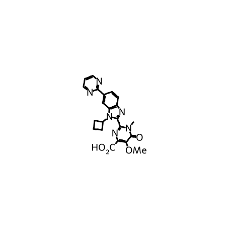 COc1c(C(=O)O)nc(-c2nc3ccc(-c4ncccn4)cc3n2C2CCC2)n(C)c1=O